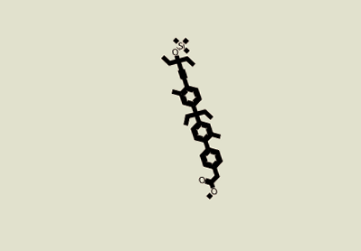 CCC(C#Cc1ccc(C(CC)(CC)c2ccc(-c3ccc(CC(=O)OC)cc3)c(C)c2)cc1C)(CC)O[Si](C)(C)C